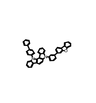 c1ccc(-c2ccc(-n3c4ccccc4c4ccc5c(c6ccccc6n5-c5cccc(-c6ccc7c(c6)oc6ccccc67)c5)c43)cc2)cc1